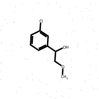 COCC(O)c1cccc(Cl)c1